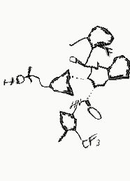 Cc1ccc(NC(=O)[C@H]2Cc3ccccc3N(C(=O)c3c(C)cccc3F)[C@H]2c2ccc(CCC(C)(C)O)cc2)cc1C(F)(F)F